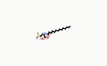 CCCCCCCCCCCCCC(=O)N[C@H](CC[S+](C)C)C(=O)O